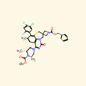 Cc1cc2c(N3C[C@@H](C)N(C(=O)OC(C)(C)C)[C@@H](C)C3)nc(=O)n3c2c(c1-c1cc(Cl)c(F)cc1F)SCC1(CN(C(=O)OCc2ccccc2)C1)C3